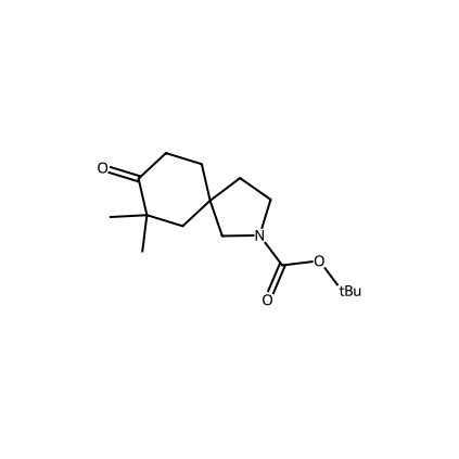 CC(C)(C)OC(=O)N1CCC2(CCC(=O)C(C)(C)C2)C1